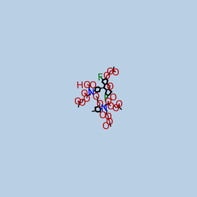 CC(=O)OCOC(=O)CN(CC(=O)O)c1ccc(-c2c3cc(F)c(=O)cc-3oc3cc(OCOC(C)=O)c(F)cc23)cc1OCCOc1cc(C)ccc1N(CC(=O)OCOC(C)=O)CC(=O)OCOC(C)=O